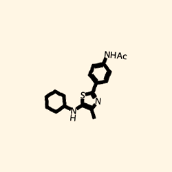 CC(=O)Nc1ccc(-c2nc(C)c(NC3CCCCC3)s2)cc1